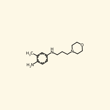 Cc1cc(NCCCN2CCOCC2)ccc1N